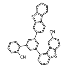 N#Cc1ccc2sc3cccc(-c4cc(-c5ccc6c(c5)sc5ccccc56)cc(-c5ccccc5C#N)c4)c3c2c1